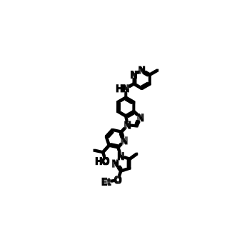 CCOc1cc(C)n(-c2nc(-n3cnc4cc(Nc5ccc(C)nn5)ccc43)ccc2C(C)O)n1